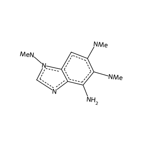 CNc1cc2c(ncn2NC)c(N)c1NC